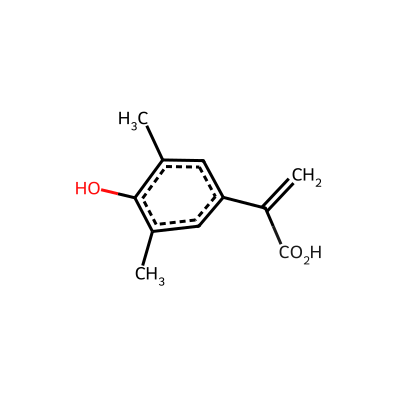 C=C(C(=O)O)c1cc(C)c(O)c(C)c1